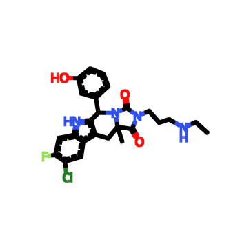 CCNCCCN1C(=O)N2C(c3cccc(O)c3)c3[nH]c4cc(F)c(Cl)cc4c3CC2(C)C1=O